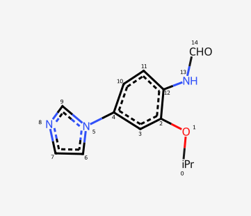 CC(C)Oc1cc(-n2ccnc2)ccc1NC=O